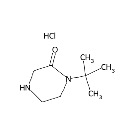 CC(C)(C)N1CCNCC1=O.Cl